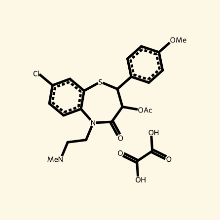 CNCCN1C(=O)C(OC(C)=O)C(c2ccc(OC)cc2)Sc2cc(Cl)ccc21.O=C(O)C(=O)O